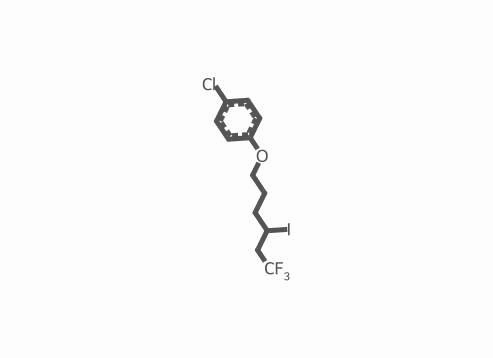 FC(F)(F)CC(I)CCCOc1ccc(Cl)cc1